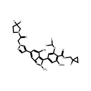 COc1cc(-c2c3c(C#N)cc(-c4cnn(CC(=O)N5CCC(F)(F)C5)c4)cc3nn2C)cc(OC(F)F)c1C(=O)NCC1(F)CC1